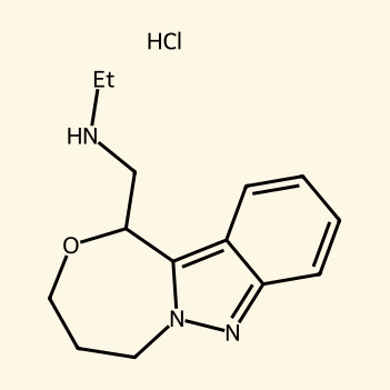 CCNCC1OCCCn2nc3ccccc3c21.Cl